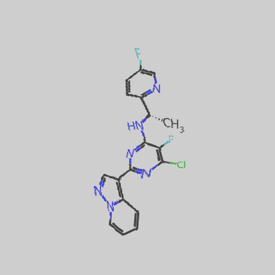 C[C@H](Nc1nc(-c2cnn3ccccc23)nc(Cl)c1F)c1ccc(F)cn1